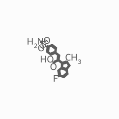 CC1=C(C(=Cc2ccc(S(N)(=O)=O)cc2)C(=O)O)c2cc(F)ccc2C1